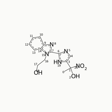 CC(O)(c1cnc(-c2nc3ccccc3n2CCO)[nH]1)[N+](=O)[O-]